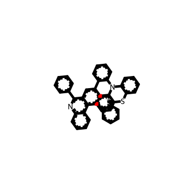 c1ccc(-c2nc3ccccc3c3c2cc(-c2ccccc2N2c4ccccc4Sc4ccccc42)c2sc4ccccc4c23)cc1